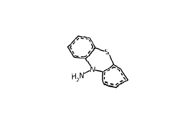 NN1c2ccccc2Sc2ccccc21